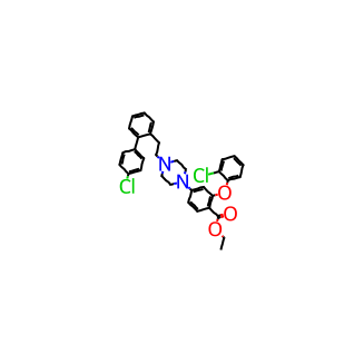 CCOC(=O)c1ccc(N2CCN(CCc3ccccc3-c3ccc(Cl)cc3)CC2)cc1Oc1ccccc1Cl